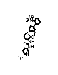 CS(=O)(=O)Nc1ccccc1-c1ccc(N2CCC[C@@H](NC(=O)Nc3ccc(C(F)(F)F)nc3)C2=O)c(F)c1